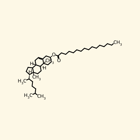 CCCCCCCCCCCCCCCC(=O)O[C@H]1CC[C@@]2(C)C(=CC[C@H]3[C@@H]4CC[C@H](C(C)CCCC(C)C)[C@@]4(C)CC[C@@H]32)C1